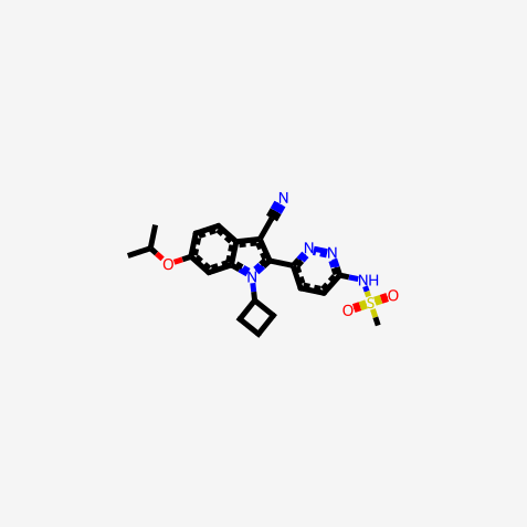 CC(C)Oc1ccc2c(C#N)c(-c3ccc(NS(C)(=O)=O)nn3)n(C3CCC3)c2c1